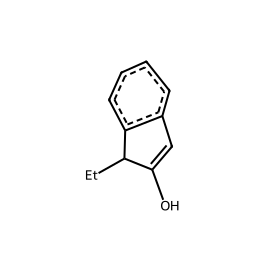 CCC1C(O)=Cc2ccccc21